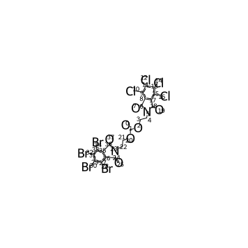 O=C(OCCN1C(=O)c2c(Cl)c(Cl)c(Cl)c(Cl)c2C1=O)OCCN1C(=O)c2c(Br)c(Br)c(Br)c(Br)c2C1=O